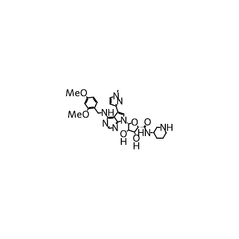 COc1ccc(CNc2ncnc3c2c(-c2ccn(C)n2)cn3[C@@H]2O[C@H](C(=O)N[C@@H]3CCCNC3)[C@@H](O)[C@H]2O)c(OC)c1